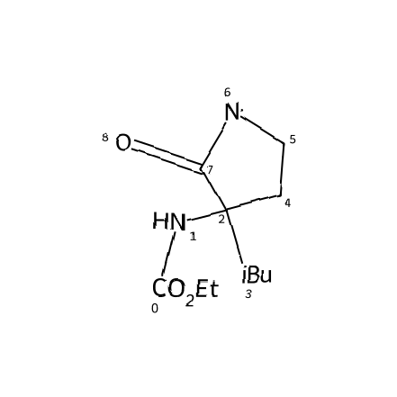 CCOC(=O)NC1(C(C)CC)CC[N]C1=O